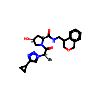 CC(C)(C)[C@@H](C(=O)N1C[C@H](O)C[C@H]1C(=O)NCC1COCc2ccccc21)n1cc(C2CC2)nn1